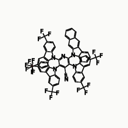 N#Cc1c(-n2c3ccc(C(F)(F)F)cc3c3cc(C(F)(F)F)ccc32)c(-n2c3ccc(C(F)(F)F)cc3c3cc(C(F)(F)F)ccc32)nc(-n2c3ccccc3c3cc4ccccc4cc32)c1-n1c2ccc(C(F)(F)F)cc2c2cc(C(F)(F)F)ccc21